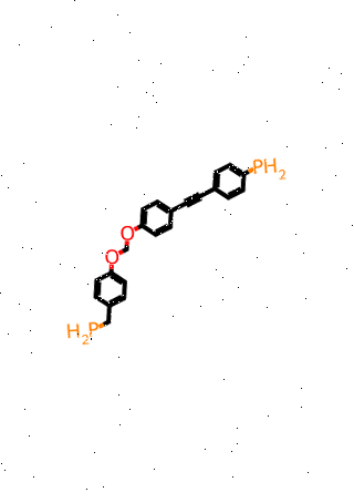 PCc1ccc(OCOc2ccc(C#Cc3ccc(P)cc3)cc2)cc1